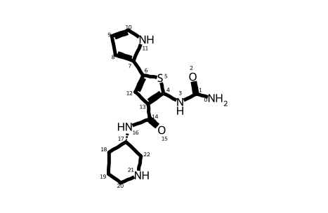 NC(=O)Nc1sc(-c2ccc[nH]2)cc1C(=O)N[C@H]1CCCNC1